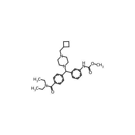 CCN(CC)C(=O)c1ccc(C(c2cccc(NC(=O)OC)c2)N2CCN(CC3CCC3)CC2)cc1